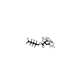 CC(C)CC(C)(C(=O)OCC(F)(F)C(F)(F)C(F)(F)C(F)F)C(C)C